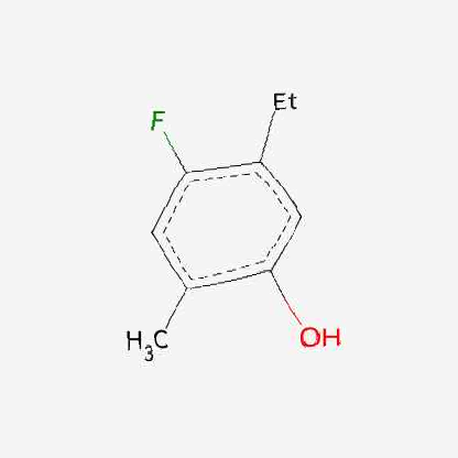 CCc1cc(O)c(C)cc1F